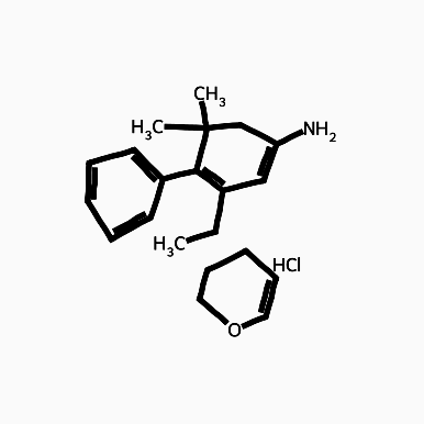 C1=COCCC1.CCC1=C(c2ccccc2)C(C)(C)CC(N)=C1.Cl